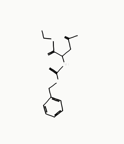 CCOC(=O)C(CC(=O)O)NC(=O)OCc1ccccc1